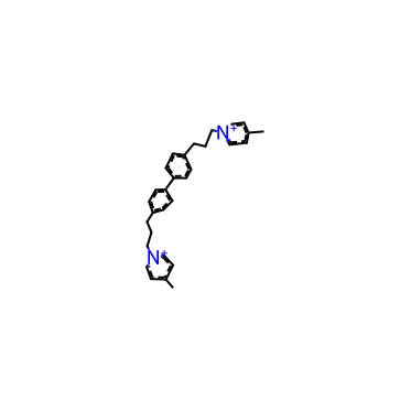 Cc1cc[n+](CCCc2ccc(-c3ccc(CCC[n+]4ccc(C)cc4)cc3)cc2)cc1